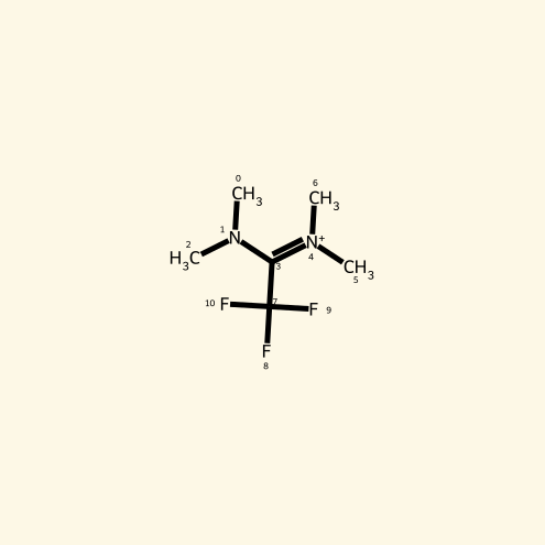 CN(C)C(=[N+](C)C)C(F)(F)F